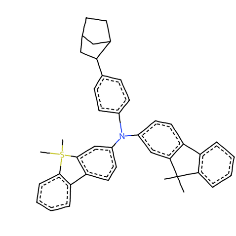 CC1(C)c2ccccc2-c2ccc(N(c3ccc(C4CC5CCC4C5)cc3)c3ccc4c(c3)S(C)(C)c3ccccc3-4)cc21